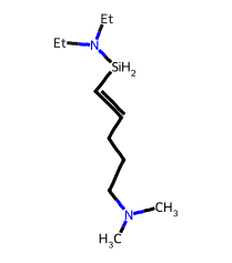 CCN(CC)[SiH2]C=CCCCN(C)C